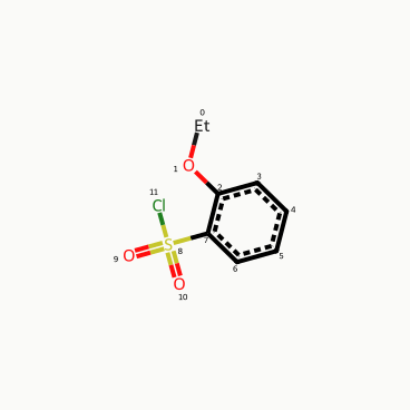 CCOc1ccccc1S(=O)(=O)Cl